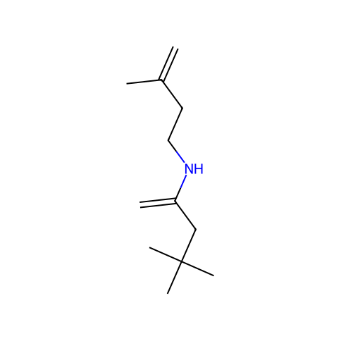 C=C(C)CCNC(=C)CC(C)(C)C